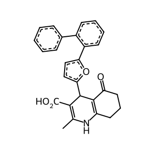 CC1=C(C(=O)O)C(c2ccc(-c3ccccc3-c3ccccc3)o2)C2=C(CCCC2=O)N1